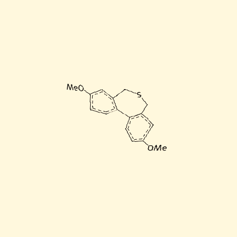 COc1ccc2c(c1)CSCc1cc(OC)ccc1-2